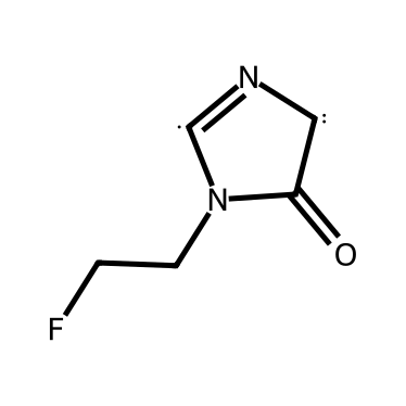 O=C1[C]N=[C]N1CCF